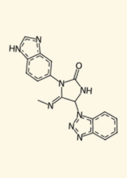 CN=C1C(n2nnc3ccccc32)NC(=O)N1c1ccc2[nH]cnc2c1